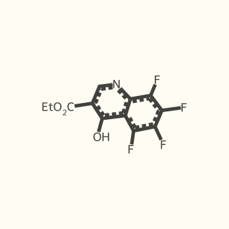 CCOC(=O)c1cnc2c(F)c(F)c(F)c(F)c2c1O